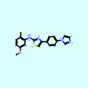 COc1ccc(C)c(Nc2nc(-c3ccc(-n4ccnc4)cc3)cs2)c1